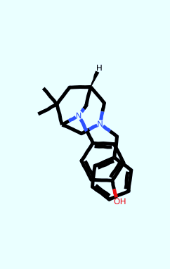 CC1(C)C[C@@H]2CN(Cc3ccccc3)CC1N(c1ccc(O)cc1)C2